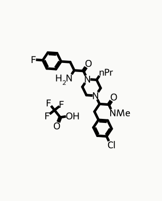 CCCC1CN(C(Cc2ccc(Cl)cc2)C(=O)NC)CCN1C(=O)C(N)Cc1ccc(F)cc1.O=C(O)C(F)(F)F